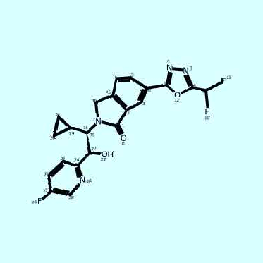 O=C1c2cc(-c3nnc(C(F)F)o3)ccc2CN1[C@H](C1CC1)C(O)c1ccc(F)cn1